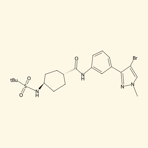 Cn1cc(Br)c(-c2cccc(NC(=O)[C@H]3CC[C@H](NS(=O)(=O)C(C)(C)C)CC3)c2)n1